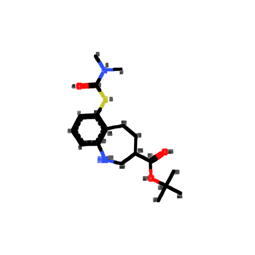 CN(C)C(=O)Sc1cccc2c1CCC(C(=O)OC(C)(C)C)CN2